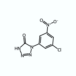 O=c1[nH]nnn1-c1cc(Cl)cc([N+](=O)[O-])c1